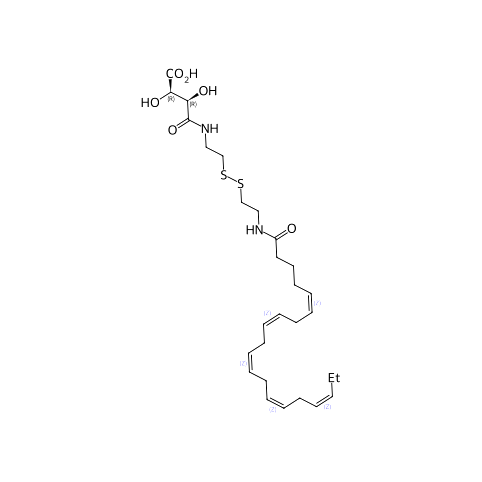 CC/C=C\C/C=C\C/C=C\C/C=C\C/C=C\CCCC(=O)NCCSSCCNC(=O)[C@H](O)[C@@H](O)C(=O)O